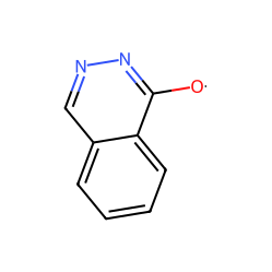 [O]c1nncc2ccccc12